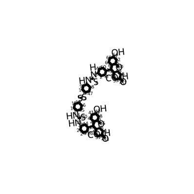 O=C(O)c1cc(NC(=S)Nc2ccc(SSc3ccc(NC(=S)Nc4ccc(C(=O)O)c(-c5c6ccc(=O)cc-6oc6cc(O)ccc56)c4)cc3)cc2)ccc1-c1c2ccc(=O)cc-2oc2cc(O)ccc12